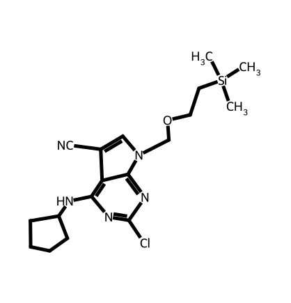 C[Si](C)(C)CCOCn1cc(C#N)c2c(NC3CCCC3)nc(Cl)nc21